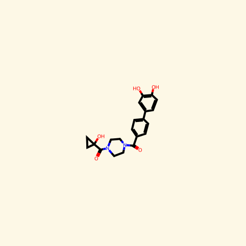 O=C(c1ccc(-c2ccc(O)c(O)c2)cc1)N1CCN(C(=O)C2(O)CC2)CC1